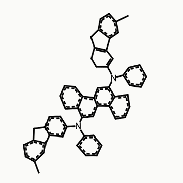 Cc1ccc2c(c1)C1=C(CCC(N(c3ccccc3)c3cc4c5ccccc5c(N(c5ccccc5)c5ccc6c(c5)-c5cc(C)ccc5C6)cc4c4ccccc34)=C1)C2